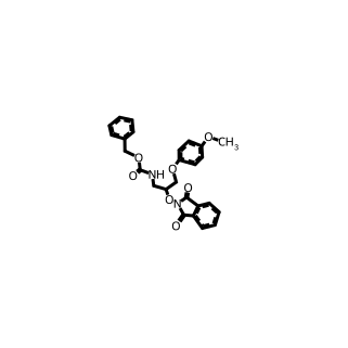 COc1ccc(OCC(CNC(=O)OCc2ccccc2)ON2C(=O)c3ccccc3C2=O)cc1